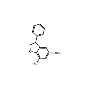 CC(C)(C)c1cc2c(c(C(C)(C)C)c1)OCC2c1ccccc1